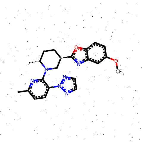 Cc1ccc(-n2nccn2)c(N2C[C@H](c3nc4cc(OC(F)(F)F)ccc4o3)CC[C@H]2C)n1